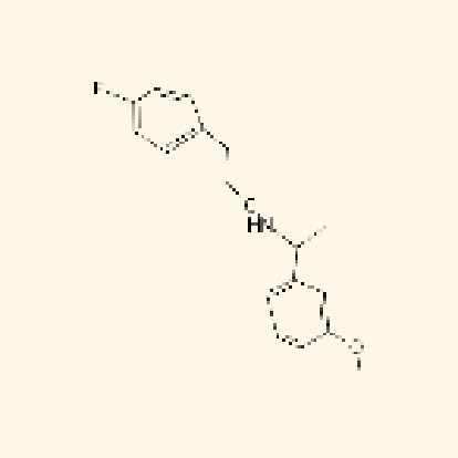 COc1cccc(C(C)NCCCc2ccc(F)cc2)c1